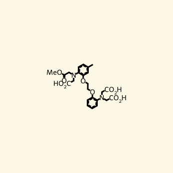 COC(=O)CN(CC(=O)O)c1ccc(C)cc1OCCOc1ccccc1N(CC(=O)O)CC(=O)O